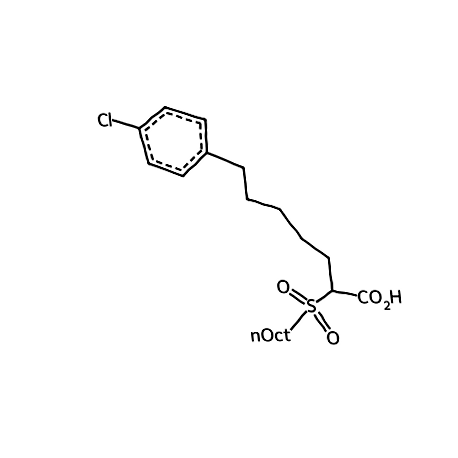 CCCCCCCCS(=O)(=O)C(CCCCCc1ccc(Cl)cc1)C(=O)O